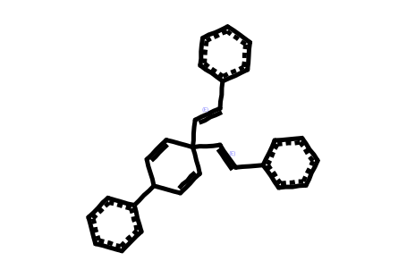 C1=CC(/C=C/c2ccccc2)(/C=C/c2ccccc2)C=CC1c1ccccc1